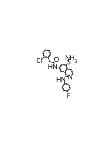 NSc1cc(NC(=O)Cc2ccccc2Cl)cc2c(Nc3ccc(F)cc3)nccc12